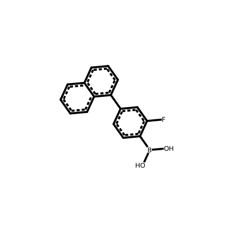 OB(O)c1ccc(-c2cccc3ccccc23)cc1F